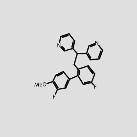 COc1ccc(-c2cc(F)ccc2CC(c2cccnc2)c2cccnc2)cc1F